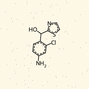 Nc1ccc(C(O)c2nccs2)c(Cl)c1